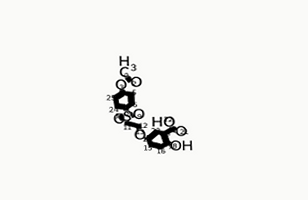 CC(=O)Oc1ccc(S(=O)(=O)CCOc2ccc(O)c(C(=O)O)c2)cc1